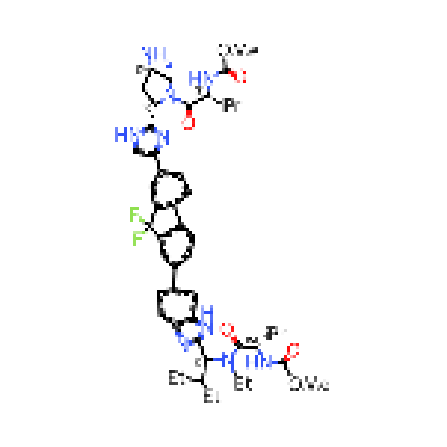 CCC(CC)[C@@H](c1nc2ccc(-c3ccc4c(c3)C(F)(F)c3cc(-c5c[nH]c([C@@H]6C[C@H](N)CN6C(=O)[C@@H](NC(=O)OC)C(C)C)n5)ccc3-4)cc2[nH]1)N(CC)C(=O)[C@@H](NC(=O)OC)C(C)C